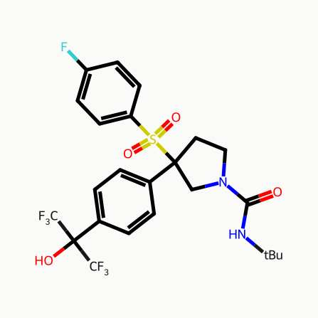 CC(C)(C)NC(=O)N1CCC(c2ccc(C(O)(C(F)(F)F)C(F)(F)F)cc2)(S(=O)(=O)c2ccc(F)cc2)C1